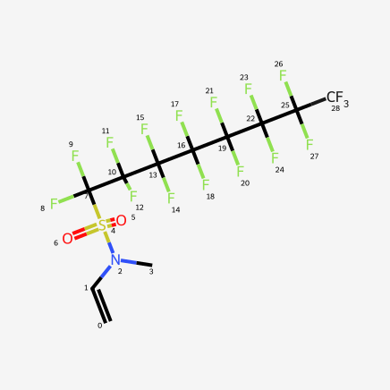 C=CN(C)S(=O)(=O)C(F)(F)C(F)(F)C(F)(F)C(F)(F)C(F)(F)C(F)(F)C(F)(F)C(F)(F)F